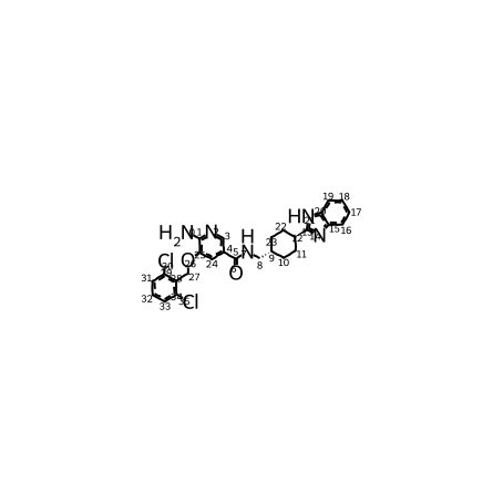 Nc1ncc(C(=O)NC[C@H]2CC[C@H](c3nc4ccccc4[nH]3)CC2)cc1OCc1c(Cl)cccc1Cl